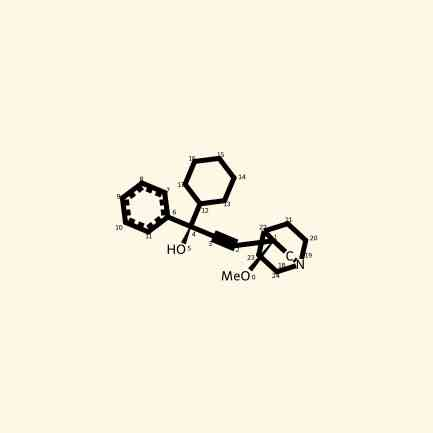 CO[C@]1(C#C[C@](O)(c2ccccc2)C2CCCCC2)CN2CCC1CC2